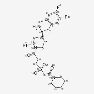 CC[C@@H]1C[C@@H](C(N)Cc2cc(F)c(F)cc2F)CCN1C(=O)CCS(=O)(=O)CC(=O)N1CCCCC1